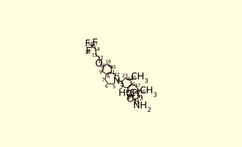 Cc1cc(N2CCCc3cc(OCCCC(F)(F)F)ccc3C2)cc(C)c1CC(C)(C)CC(N)=O